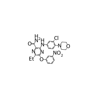 CCc1nc(C(N)=O)c(Nc2ccc(N3CCOCC3)c(Cl)c2)nc1Oc1cccc([N+](=O)[O-])c1